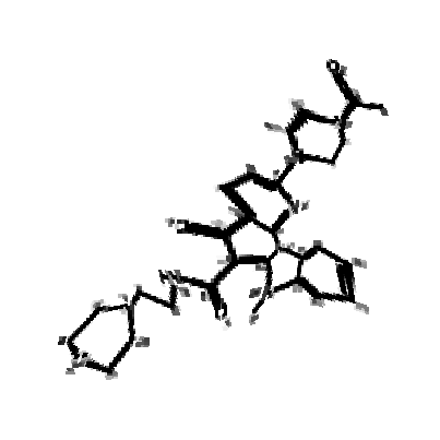 CC(=O)N1CCN(c2ccc3c(=O)c(C(=O)NCCN4CCOCC4)c4n(C)c5ccccc5n4c3n2)CC1